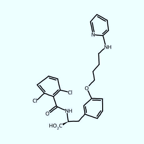 O=C(N[C@@H](Cc1cccc(OCCCCNc2ccccn2)c1)C(=O)O)c1c(Cl)cccc1Cl